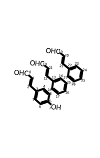 O=CC=Cc1ccc(O)cc1.O=CC=Cc1ccccc1.O=CC=Cc1ccccc1